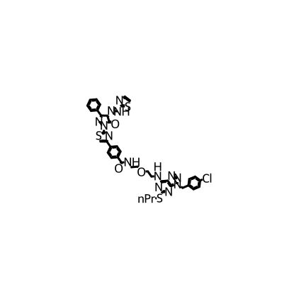 CCCSc1nc(NCCOCCNC(=O)c2ccc(-c3csc(N4N=C(c5ccccc5)C(=NNc5nccs5)C4=O)n3)cc2)c2nnn(Cc3ccc(Cl)cc3)c2n1